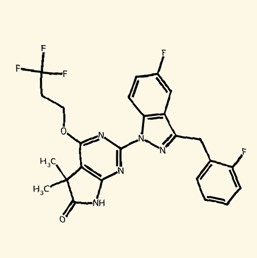 CC1(C)C(=O)Nc2nc(-n3nc(Cc4ccccc4F)c4cc(F)ccc43)nc(OCCC(F)(F)F)c21